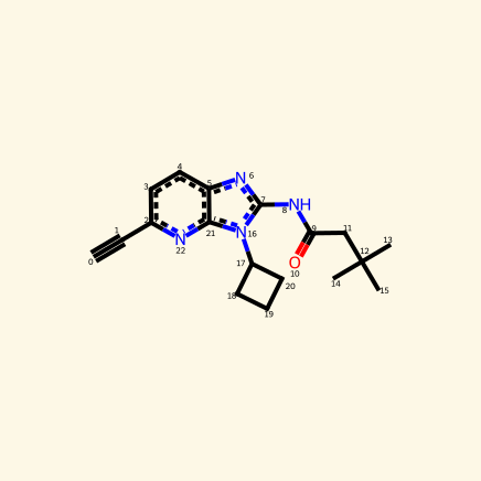 C#Cc1ccc2nc(NC(=O)CC(C)(C)C)n(C3CCC3)c2n1